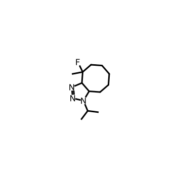 CC(C)N1N=NC2C1CCCCCC2(C)F